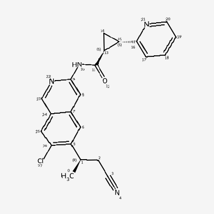 C[C@H](CC#N)c1cc2cc(NC(=O)[C@H]3C[C@@H]3c3ccccn3)ncc2cc1Cl